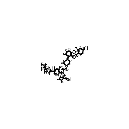 CC1(c2ccc(Cl)cc2F)Oc2cccc(C3CCN(Cc4nc5cc(-c6nnc(C(F)(F)F)[nH]6)cnc5n4CC4(C#N)CCC4)CC3)c2O1